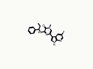 CCC(Nc1nc(-c2c[nH]c3ncc(F)cc23)cn(C)c1=O)c1ccccc1